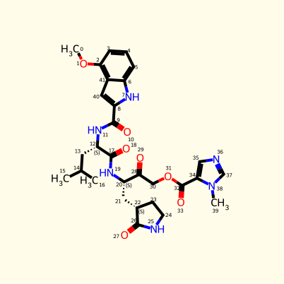 COc1cccc2[nH]c(C(=O)N[C@@H](CC(C)C)C(=O)N[C@@H](C[C@@H]3CCNC3=O)C(=O)COC(=O)c3cncn3C)cc12